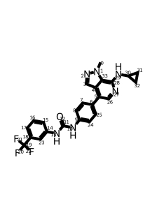 Cn1ncc2c(-c3ccc(NC(=O)Nc4cccc(C(F)(F)F)c4)cc3)cnc(NC3CC3)c21